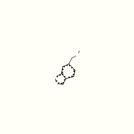 CCOCc1ccc2cn[nH]c2c1